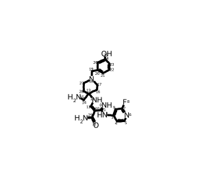 N=C(Nc1ccnc(F)c1)/C(=C\NC1(CN)CCN(Cc2cccc(O)c2)CC1)C(N)=O